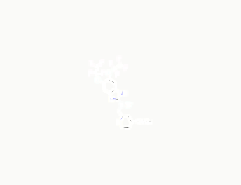 COc1ccnc(C[S+]([O-])c2nc3cc(OC(F)(F)C(F)F)c(OC(F)(F)C(F)F)cc3[nH]2)c1